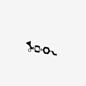 CCC[C@H]1CC[C@H](N2CCN(C(=O)C3CC3)CC2)CC1